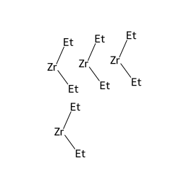 C[CH2][Zr][CH2]C.C[CH2][Zr][CH2]C.C[CH2][Zr][CH2]C.C[CH2][Zr][CH2]C